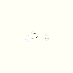 Cn1nc2cc(B3OC(C)(C)C(C)(C)O3)cc(F)c2n1